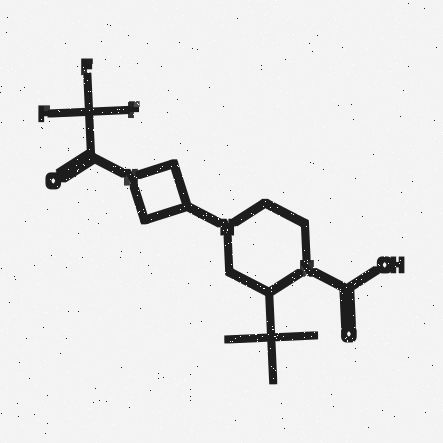 CC(C)(C)C1CN(C2CN(C(=O)C(F)(F)F)C2)CCN1C(=O)O